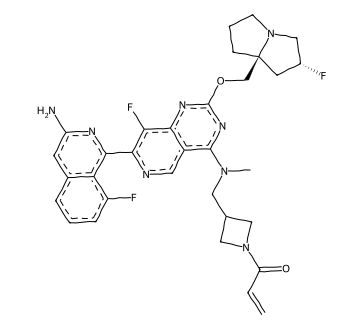 C=CC(=O)N1CC(CN(C)c2nc(OC[C@@]34CCCN3C[C@H](F)C4)nc3c(F)c(-c4nc(N)cc5cccc(F)c45)ncc23)C1